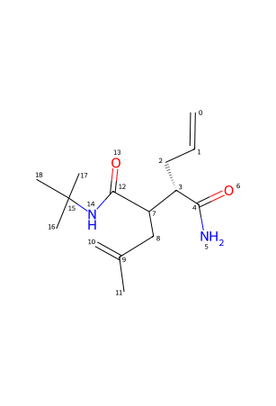 C=CC[C@H](C(N)=O)C(CC(=C)C)C(=O)NC(C)(C)C